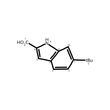 CC(C)(C)c1ccc2cc(C(=O)O)[nH]c2c1